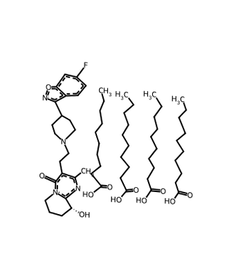 CCCCCCCCCC(=O)O.CCCCCCCCCC(=O)O.CCCCCCCCCC(=O)O.CCCCCCCCCC(=O)O.Cc1nc2n(c(=O)c1CCN1CCC(c3noc4cc(F)ccc34)CC1)CCC[C@H]2O